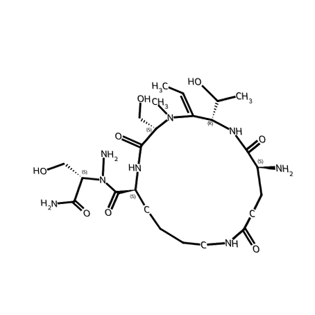 CC=C1[C@H](C(C)O)NC(=O)[C@@H](N)CCC(=O)NCCCC[C@@H](C(=O)N(N)[C@@H](CO)C(N)=O)NC(=O)[C@H](CO)N1C